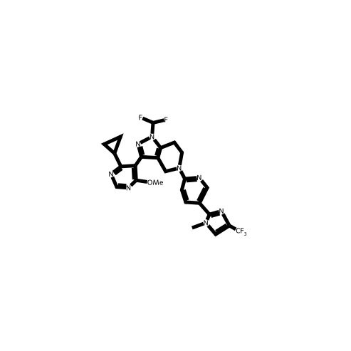 COc1ncnc(C2CC2)c1-c1nn(C(F)F)c2c1CN(c1ccc(-c3nc(C(F)(F)F)cn3C)cn1)CC2